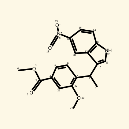 COC(=O)c1ccc(C(C)c2c[nH]c3ccc([N+](=O)[O-])cc23)c(OC)c1